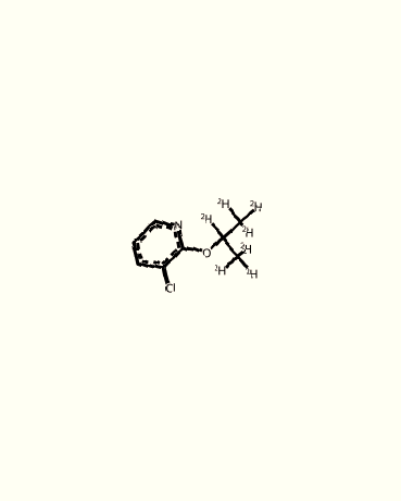 [2H]C([2H])([2H])C([2H])(Oc1ncccc1Cl)C([2H])([2H])[2H]